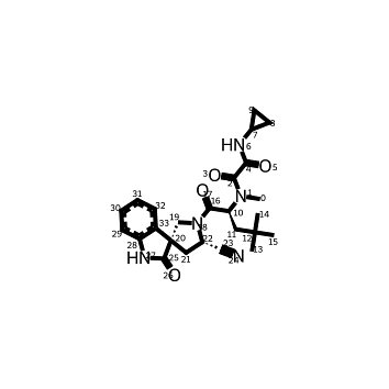 CN(C(=O)C(=O)NC1CC1)[C@@H](CC(C)(C)C)C(=O)N1C[C@]2(C[C@H]1C#N)C(=O)Nc1ccccc12